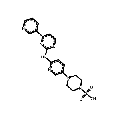 CS(=O)(=O)N1CCN(c2ccc(Nc3nccc(-c4cccnc4)n3)nc2)CC1